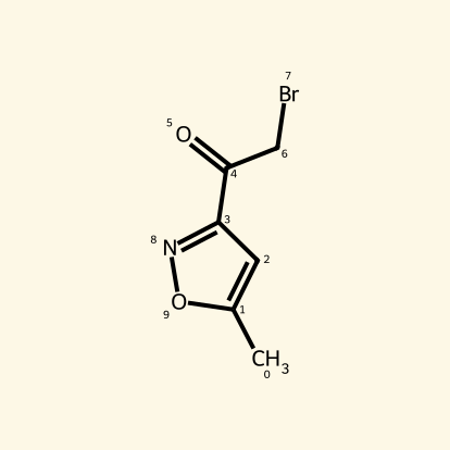 Cc1cc(C(=O)CBr)no1